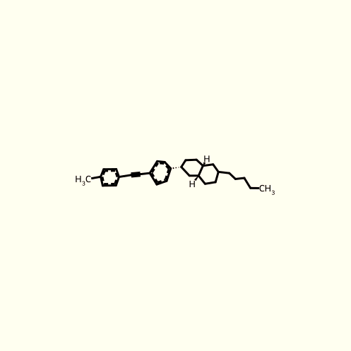 CCCCCC1CC[C@@H]2C[C@H](c3ccc(C#Cc4ccc(C)cc4)cc3)CC[C@@H]2C1